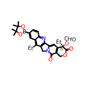 CCc1c2c(nc3ccc(B4OC(C)(C)C(C)(C)O4)cc13)-c1cc3c(c(=O)n1C2)COC(=O)[C@@]3(CC)OC=O